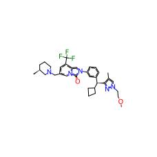 COCCn1cc(C)c([C@H](c2cccc(-n3cc4c(C(F)(F)F)cc(CN5CCC[C@H](C)C5)cn4c3=O)c2)C2CCC2)n1